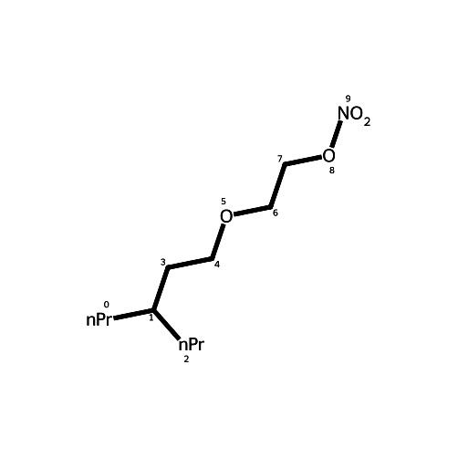 CCCC(CCC)CCOCCO[N+](=O)[O-]